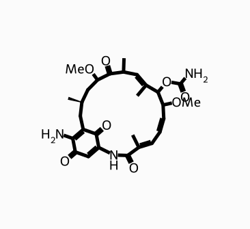 COC1C[C@H](C)CC2=C(N)C(=O)C=C(NC(=O)/C(C)=C/C=C\C(OC)C(OC(N)=O)/C(C)=C/C(C)C1=O)C2=O